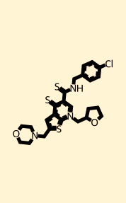 S=C(NCc1ccc(Cl)cc1)c1cn(CC2CCCO2)c2sc(CN3CCOCC3)cc2c1=S